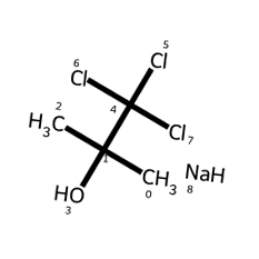 CC(C)(O)C(Cl)(Cl)Cl.[NaH]